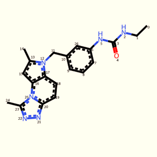 CCNC(=O)Nc1cccc(Cn2c(C)cc3c2ccc2nnc(C)n23)c1